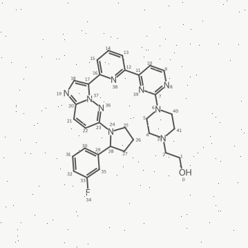 OCCN1CCN(c2nccc(-c3cccc(-c4cnc5ccc(N6CCCC6c6cccc(F)c6)nn45)n3)n2)CC1